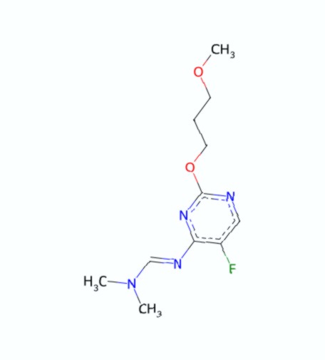 COCCCOc1ncc(F)c(/N=C/N(C)C)n1